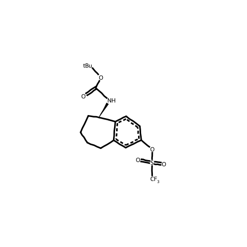 CC(C)(C)OC(=O)N[C@@H]1CCCCc2cc(OS(=O)(=O)C(F)(F)F)ccc21